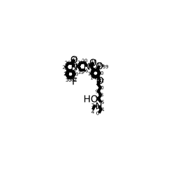 CCN(CC)CC(O)CCCCOc1ccc(C(=O)N2CCC(N3C(=O)CCc4ccc(F)cc43)CC2)c(OC)c1